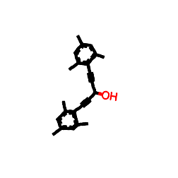 Cc1cc(C)c(C#CC(O)C#Cc2c(C)cc(C)cc2C)c(C)c1